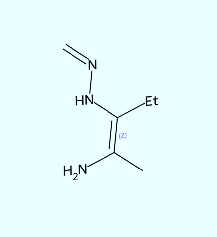 C=NN/C(CC)=C(/C)N